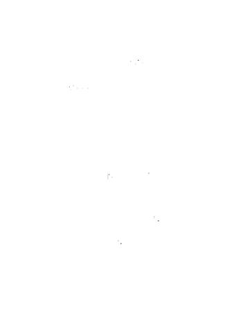 COc1ccc(-c2nc3c(c(=O)n(C)c(=O)n3C)n2C)cc1OC